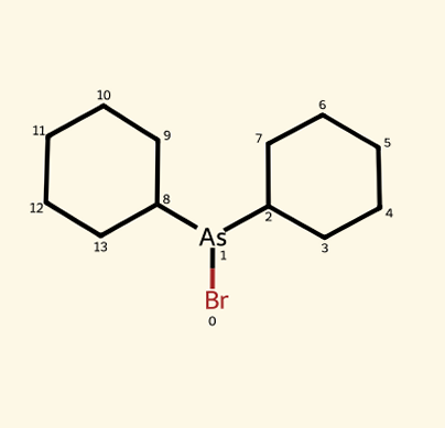 Br[As](C1CCCCC1)C1CCCCC1